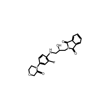 O=C1c2ccccc2C(=O)N1C[C@H](O)CNc1ccc(N2CCOCC2=O)cc1F